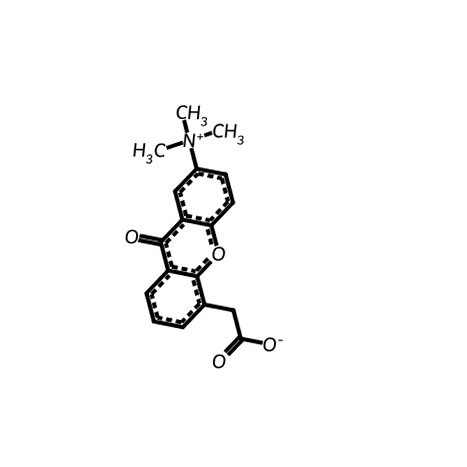 C[N+](C)(C)c1ccc2oc3c(CC(=O)[O-])cccc3c(=O)c2c1